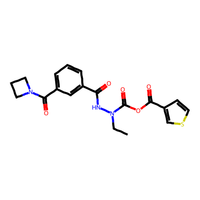 CCN(NC(=O)c1cccc(C(=O)N2CCC2)c1)C(=O)OC(=O)c1ccsc1